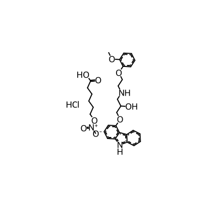 COc1ccccc1OCCNCC(O)COc1cccc2[nH]c3ccccc3c12.Cl.O=C(O)CCCCCO[N+](=O)[O-]